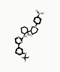 NC1(C2CCCN(c3ccc([N+](=O)[O-])cc3)C2)CCCCC1Nc1nccc(-c2cccc(OC(F)(F)F)c2)n1